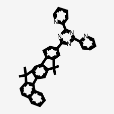 CC1(C)c2cc(-c3nc(-c4ccccn4)nc(-c4ccccn4)n3)ccc2-c2cc3c(cc21)-c1c(ccc2ccccc12)C3(C)C